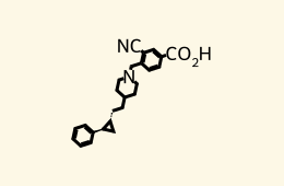 N#Cc1cc(C(=O)O)ccc1CN1CCC(CC[C@@H]2C[C@H]2c2ccccc2)CC1